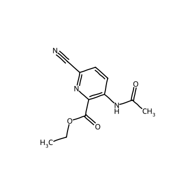 CCOC(=O)c1nc(C#N)ccc1NC(C)=O